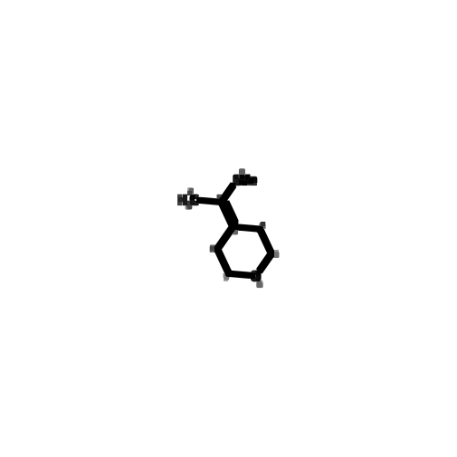 CSC(C)=C1CCOCC1